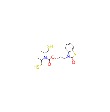 CC(CS)N(C(=O)OCCCn1c(=O)sc2ccccc21)C(C)CS